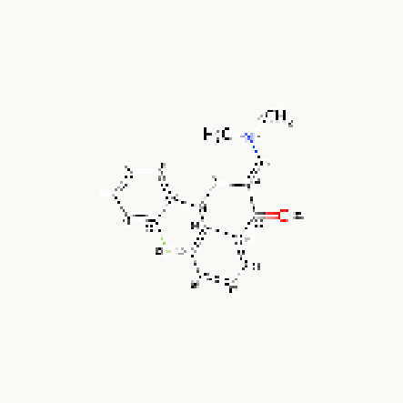 CN(C)/C=C1\CC(c2ccccc2F)c2ccccc2C1=O